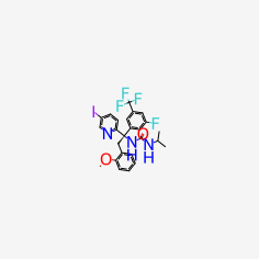 COc1ccccc1C[C@](NC(=O)NC(C)C)(c1cc(F)cc(C(F)(F)F)c1)c1ccc(I)cn1